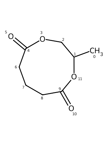 CC1COC(=O)CCCC(=O)O1